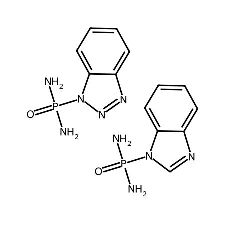 NP(N)(=O)n1cnc2ccccc21.NP(N)(=O)n1nnc2ccccc21